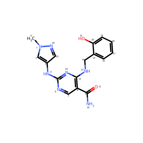 Cn1cc(Nc2ncc(C(N)=O)c(NCc3ccccc3O)n2)cn1